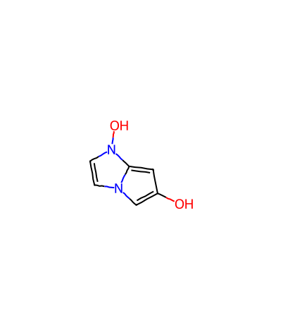 Oc1cc2n(O)ccn2c1